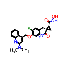 CN(C)c1cc(COc2ccc(C[C@]3(C(N)=O)C[C@@H]3C(=O)NO)cc2F)c2ccccc2n1